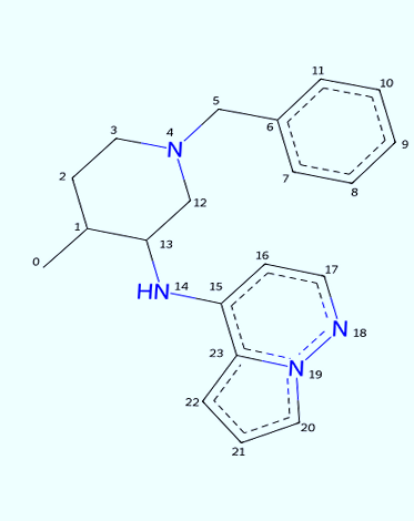 CC1CCN(Cc2ccccc2)CC1Nc1ccnn2cccc12